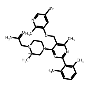 Cc1cccc(C)c1-c1nc(C)c(COc2cc(C(C)C)cnc2C)c(N2CCN(CC(N)=O)[C@H](C)C2)n1